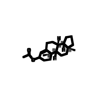 CC(=O)OC1C=C2CC[C@H]3[C@@H]4CCC[C@@]4(C)CC[C@@H]3[C@@]2(C)CC1